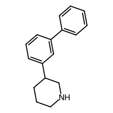 c1ccc(-c2cccc(C3CCCNC3)c2)cc1